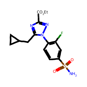 CCOC(=O)c1nc(CC2CC2)n(-c2ccc(S(N)(=O)=O)cc2F)n1